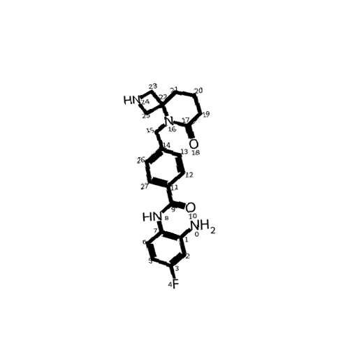 Nc1cc(F)ccc1NC(=O)c1ccc(CN2C(=O)CCCC23CNC3)cc1